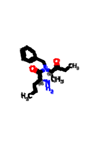 CCC[C@@H](N)C(=O)N(Cc1ccccc1)[C@@H](C)C(=O)CC